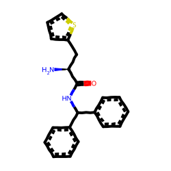 N[C@@H](Cc1cccs1)C(=O)NC(c1ccccc1)c1ccccc1